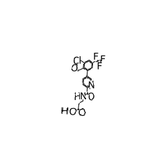 O=Cc1c(Cl)cc(C(F)(F)F)cc1-c1ccc(C(=O)NCCC(=O)O)nc1